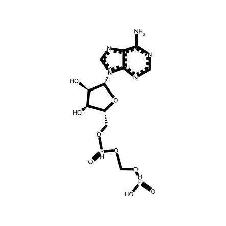 Nc1ncnc2c1ncn2[C@@H]1O[C@H](CO[PH](=O)OCO[PH](=O)O)[C@@H](O)[C@H]1O